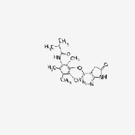 Cc1c(C)c(NC(=O)C(C)C)c(C)c(Oc2ccnc3c2CC(=O)N3)c1C